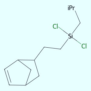 CC(C)C[Si](Cl)(Cl)CCC1CC2C=CC1C2